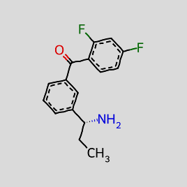 CC[C@@H](N)c1cccc(C(=O)c2ccc(F)cc2F)c1